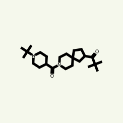 CC(C)(C)C(=O)C1CCC2(CCN(C(=O)C3CCN(C(C)(C)C)CC3)CC2)C1